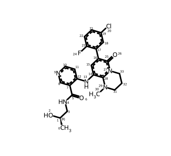 C[C@@H](O)CNC(=O)c1cnccc1Nc1cc(-c2cc(Cl)ccc2F)c(=O)n2c1N(C)CCC2